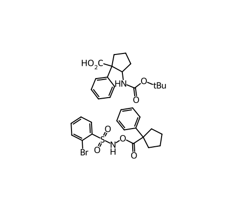 CC(C)(C)OC(=O)NC1CCCC1(C(=O)O)c1ccccc1.O=C(ONS(=O)(=O)c1ccccc1Br)C1(c2ccccc2)CCCC1